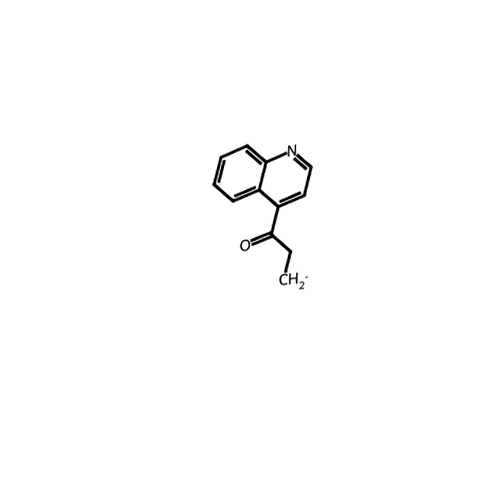 [CH2]CC(=O)c1ccnc2ccccc12